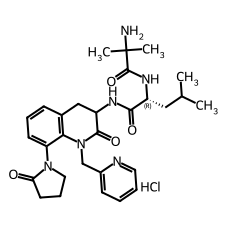 CC(C)C[C@@H](NC(=O)C(C)(C)N)C(=O)NC1Cc2cccc(N3CCCC3=O)c2N(Cc2ccccn2)C1=O.Cl